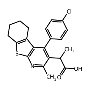 Cc1nc2sc3c(c2c(-c2ccc(Cl)cc2)c1C(C)C(=O)O)CCCC3